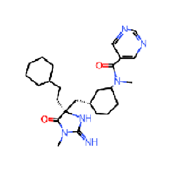 CN1C(=N)N[C@](CCC2CCCCC2)(C[C@H]2CCC[C@@H](N(C)C(=O)c3cncnc3)C2)C1=O